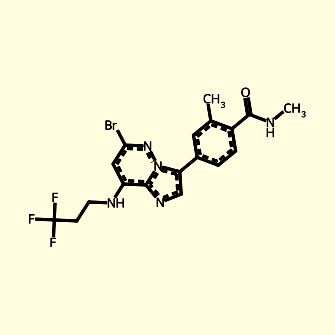 CNC(=O)c1ccc(-c2cnc3c(NCCC(F)(F)F)cc(Br)nn23)cc1C